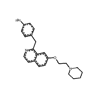 CCCCc1ccc(Cc2nccc3ccc(OCCN4CCCCC4)cc23)cc1